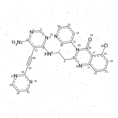 Nc1ncnc(NCCc2nc3cccc(Cl)c3c(=O)n2-c2cccnc2)c1C#Cc1ncccn1